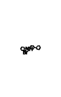 Brc1ccccc1NCc1ccc(-c2ccccc2)cc1